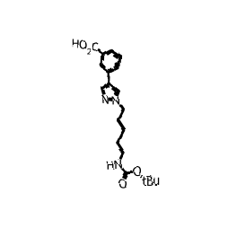 CC(C)(C)OC(=O)NCCCCCn1cc(-c2cccc(C(=O)O)c2)cn1